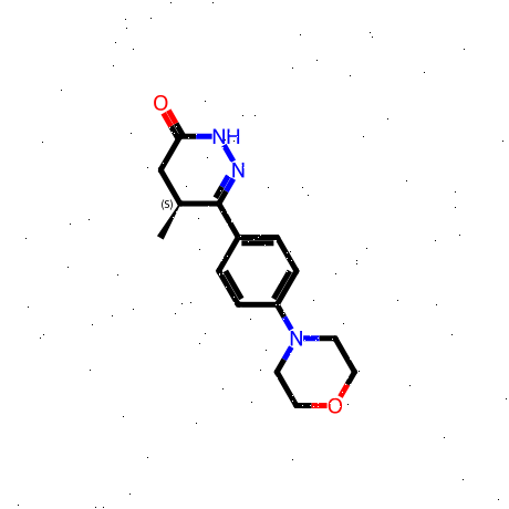 C[C@H]1CC(=O)NN=C1c1ccc(N2CCOCC2)cc1